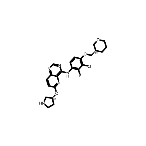 Fc1c(Nc2ncnc3ccc(O[C@H]4CCNC4)nc23)ccc(OC[C@@H]2CCCOC2)c1Cl